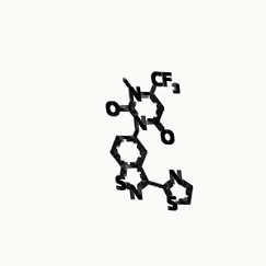 Cn1c(C(F)(F)F)cc(=O)n(-c2ccc3snc(-c4nccs4)c3c2)c1=O